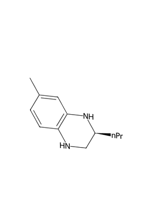 CCC[C@H]1CNc2ccc(C)cc2N1